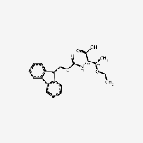 CCO[C@H](C)[C@H](NC(=O)OCC1c2ccccc2-c2ccccc21)C(=O)O